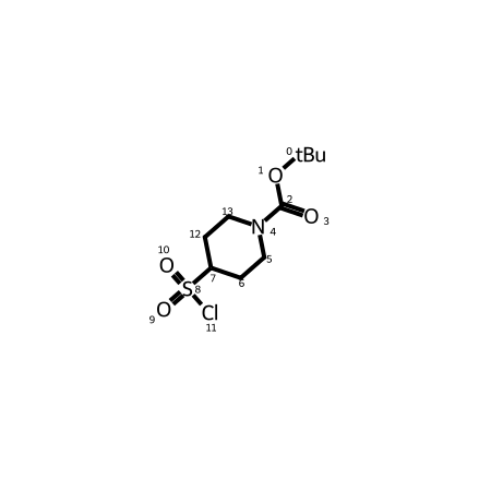 CC(C)(C)OC(=O)N1CCC(S(=O)(=O)Cl)CC1